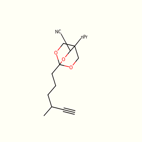 C#CC(C)CCCC12OCC(CCC)(CO1)C(C#N)O2